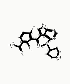 CCN(c1ncnc2[nH]cc(C(=O)c3c(F)ccc(C(N)=O)c3F)c12)C1CCNCC1